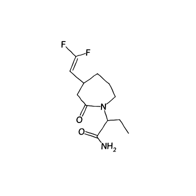 CCC(C(N)=O)N1CCCC(C=C(F)F)CC1=O